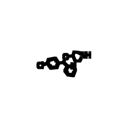 Clc1ccc(C(OC2CCNCC2)c2ccccn2)cc1